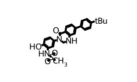 CC(C)(C)c1ccc(-c2ccc3c(c2)NCN(c2ccc(O)c(NS(C)(=O)=O)c2)C3=O)cc1